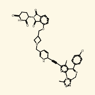 Cc1c(C#CC2C=CC(CN3CC(COc4cccc5c4C(=O)N(C4CCC(=O)NC4=O)C5=O)C3)=CN2)sc2c1C(c1ccc(Cl)cc1)=NCc1nnc(C)n1-2